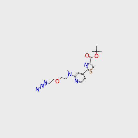 CN(CCOCCN=[N+]=[N-])c1cc(-c2nc(C(=O)OC(C)(C)C)cs2)ccn1